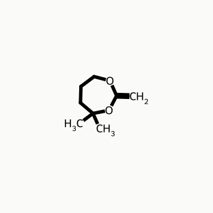 C=C1OCCCC(C)(C)O1